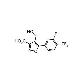 O=C(O)c1noc(-c2ccc(C(F)(F)F)c(F)c2)c1CO